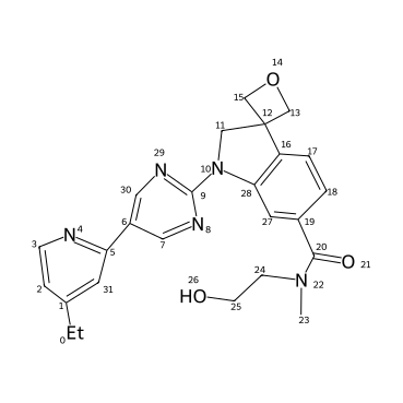 CCc1ccnc(-c2cnc(N3CC4(COC4)c4ccc(C(=O)N(C)CCO)cc43)nc2)c1